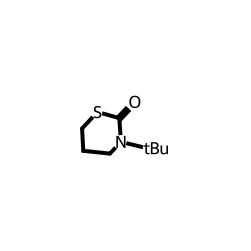 CC(C)(C)N1CCCSC1=O